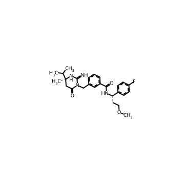 COCC[C@H](NC(=O)c1cccc(CN2C(=N)N[C@](C)(C(C)C)CC2=O)c1)c1ccc(F)cc1